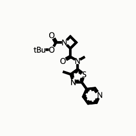 Cc1nc(-c2cccnc2)sc1N(C)C(=O)C1CCN1C(=O)OC(C)(C)C